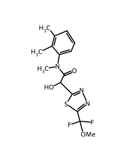 COC(F)(F)c1nnc(C(O)C(=O)N(C)c2cccc(C)c2C)s1